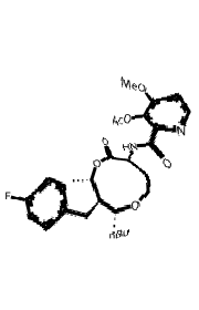 CCCC[C@H]1OCC[C@H](NC(=O)c2nccc(OC)c2OC(C)=O)C(=O)O[C@@H](C)[C@@H]1Cc1ccc(F)cc1